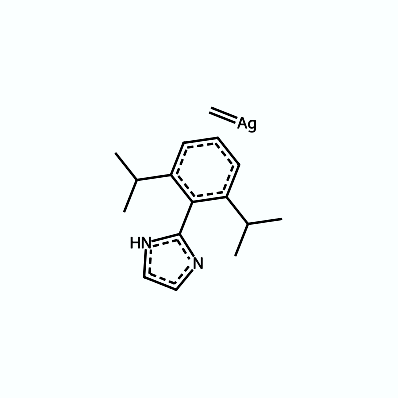 CC(C)c1cccc(C(C)C)c1-c1ncc[nH]1.[CH2]=[Ag]